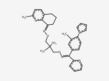 Cc1ccc2c(n1)/C(=N/OCC(C)(C)CO/N=C(\c1ccc(-n3cccc3)c(C)c1)c1ccccn1)CCC2